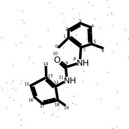 Cc1cccc(C)c1NC(=O)Nc1c(C)cccc1C